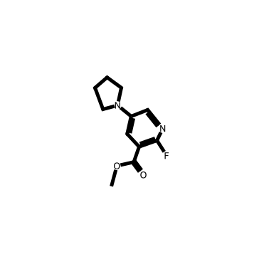 COC(=O)c1cc(N2CCCC2)cnc1F